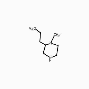 [CH2]N1CCNCC1CCOC